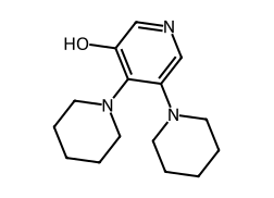 Oc1cncc(N2CCCCC2)c1N1CCCCC1